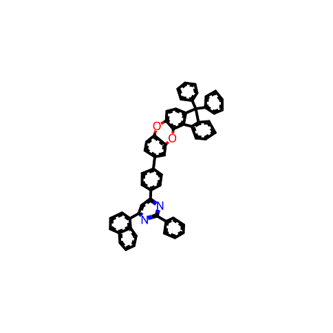 c1ccc(-c2nc(-c3ccc(-c4ccc5c(c4)Oc4c(ccc6c4-c4ccccc4C6(c4ccccc4)c4ccccc4)O5)cc3)cc(-c3cccc4ccccc34)n2)cc1